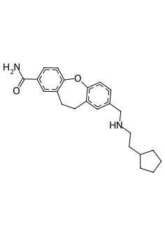 NC(=O)c1ccc2c(c1)CCc1cc(CNCCC3CCCC3)ccc1O2